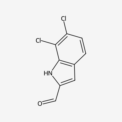 O=Cc1cc2ccc(Cl)c(Cl)c2[nH]1